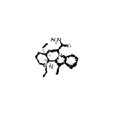 CCN1CCC[C@@]2(CC)C=C(C(N)=O)n3c(c(C)c4ccccc43)[C@@H]12